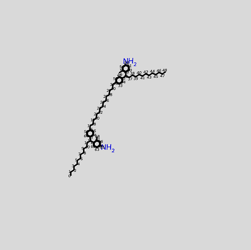 CCCCCCCCCCCCC(c1ccc(CCCCCCCCCCCCCCCc2ccc(C(CCCCCCCCCCCC)c3ccc(N)cc3C)cc2)cc1)c1ccc(N)cc1C